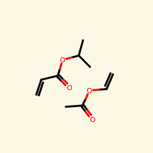 C=CC(=O)OC(C)C.C=COC(C)=O